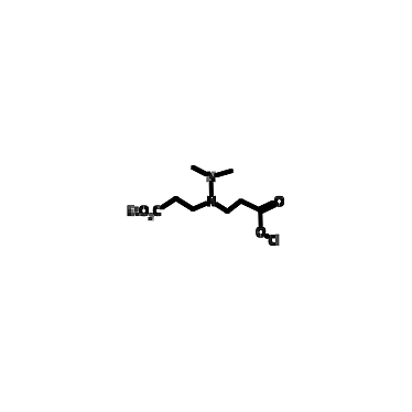 CCOC(=O)CCN(CCC(=O)OCl)N(C)C